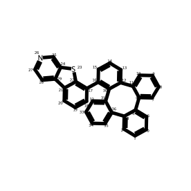 c1ccc2c(c1)-c1ccccc1-c1cccc(-c3cccc4c3sc3cnccc34)c1-c1ccccc1-2